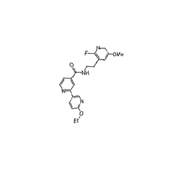 CCOc1ccc(-c2cc(C(=O)NCCc3cc(OC)cnc3F)ccn2)cn1